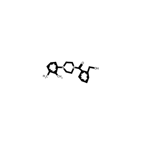 Cc1cccc(N2CCN(C(=O)c3ccccc3CO)CC2)c1C